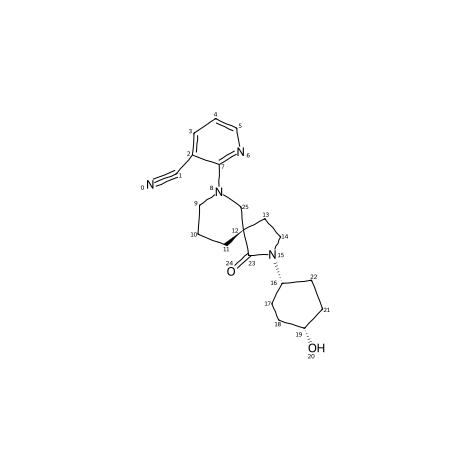 N#Cc1cccnc1N1CCC[C@]2(CCN([C@H]3CC[C@@H](O)CC3)C2=O)C1